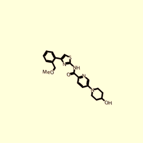 COCc1ccccc1-c1csc(NC(=O)c2ccc(N3CCC(O)CC3)cn2)n1